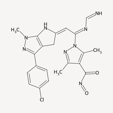 Cc1nn(C(/C=C2\Cc3c(-c4ccc(Cl)cc4)nn(C)c3N2)=N/C=N)c(C)c1C(=O)N=O